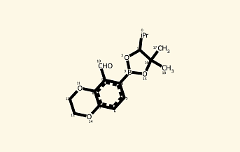 CC(C)C1OB(c2ccc3c(c2C=O)OCCO3)OC1(C)C